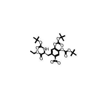 CCOC(=O)[C@H](Cc1cc(OC(=O)OC(C)(C)C)c(OC(=O)OC(C)(C)C)cc1I(=O)=O)NC(=O)OC(C)(C)C